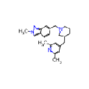 Cc1cc(CC2CCCN(Cc3ccc4cn(C)nc4c3)C2)cc(C)n1